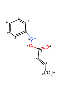 O=C(O)C=CC(=O)ONc1ccccc1